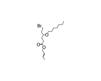 CC=CCOC(=O)CCC(CCBr)OCCCCCCC